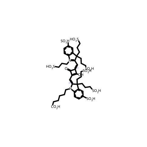 O=C(O)CCCCCN1/C(=C/C2=C(O)C(=C/C3=[N+](CCCS(=O)(=O)O)c4ccc(S(=O)(=O)O)cc4C3(CCCS(=O)(=O)O)CCCS(=O)(=O)O)/C2=O)C(CCCS(=O)(=O)O)(CCCS(=O)(=O)O)c2cc(S(=O)(=O)O)ccc21